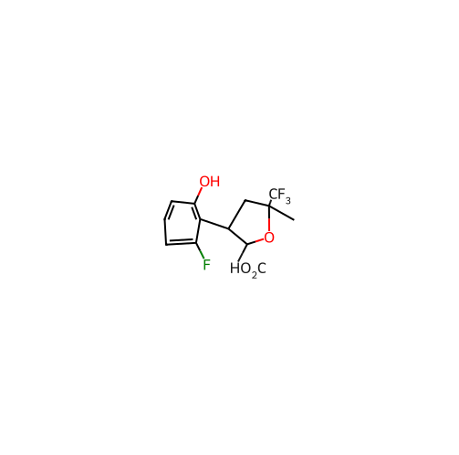 CC1(C(F)(F)F)CC(c2c(O)cccc2F)C(C(=O)O)O1